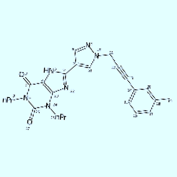 CCCn1c(=O)c2[nH]c(-c3cnn(CC#Cc4cccc(C)c4)c3)nc2n(CCC)c1=O